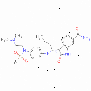 CCC/C(Nc1ccc(N(CCN(C)C)S(C)(=O)=O)cc1)=C1/C(=O)Nc2cc(C(N)=O)ccc21